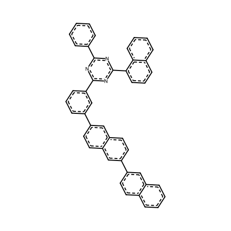 c1ccc(-c2nc(-c3cccc(-c4ccc5cc(-c6ccc7ccccc7c6)ccc5c4)c3)nc(-c3cccc4ccccc34)n2)cc1